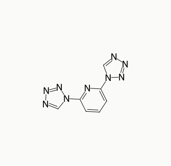 c1cc(-n2cnnn2)nc(-n2cnnn2)c1